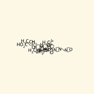 CC(C)(CC(=O)O[C@H]1CC[C@]2(C)[C@H]3CC[C@@H]4[C@H]5[C@H](C6(C)CC6)CC[C@]5(C(=O)N5CCN(CCN6CCOCC6)CC5)CC[C@@]4(C)[C@]3(C)CC[C@H]2C1(C)C)C(=O)O